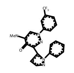 CNc1cn(-c2cccc(C(F)(F)F)c2)nc(-c2ccnn2-c2ccccc2)c1=O